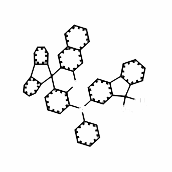 CC1(C)c2ccccc2-c2ccc(N(c3ccccc3)c3cccc4c3Oc3cc5ccccc5cc3C43c4ccccc4-c4ccccc43)cc21